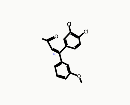 COc1cccc(/C(=C/C(C)=O)c2ccc(Cl)c(Cl)c2)c1